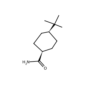 CC(C)(C)[C@H]1CC[C@@H](C(N)=O)CC1